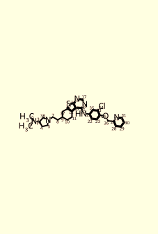 CN(C)[C@@H]1CCN(CCC2CCc3c(sc4ncnc(Nc5ccc(OCc6ccccn6)c(Cl)c5)c34)C2)C1